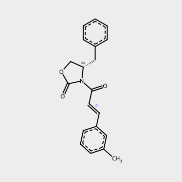 Cc1cccc(/C=C/C(=O)N2C(=O)OC[C@@H]2Cc2ccccc2)c1